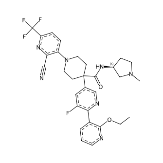 CCOc1ncccc1-c1ncc(C2(C(=O)N[C@H]3CCN(C)C3)CCN(c3ccc(C(F)(F)F)nc3C#N)CC2)cc1F